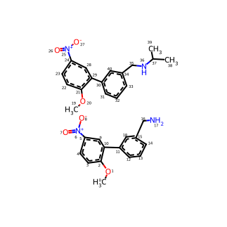 COc1ccc([N+](=O)[O-])cc1-c1cccc(CN)c1.COc1ccc([N+](=O)[O-])cc1-c1cccc(CNC(C)C)c1